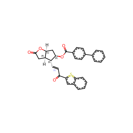 O=C1C[C@@H]2[C@@H](/C=C/C(=O)c3cc4ccccc4s3)[C@H](OC(=O)c3ccc(-c4ccccc4)cc3)C[C@@H]2O1